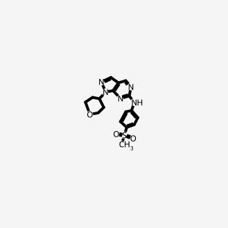 CS(=O)(=O)c1ccc(Nc2ncc3cnn(C4CCOCC4)c3n2)cc1